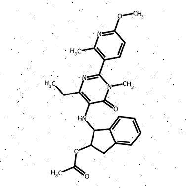 CCc1nc(-c2ccc(OC)nc2C)n(C)c(=O)c1NC1c2ccccc2CC1OC(C)=O